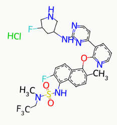 Cc1ccc2c(NS(=O)(=O)N(C)CC(F)(F)F)c(F)ccc2c1Oc1ncccc1-c1ccnc(NC2CNCC(F)C2)n1.Cl